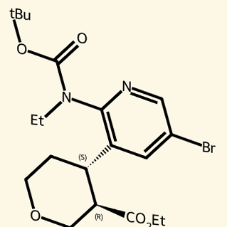 CCOC(=O)[C@H]1COCC[C@@H]1c1cc(Br)cnc1N(CC)C(=O)OC(C)(C)C